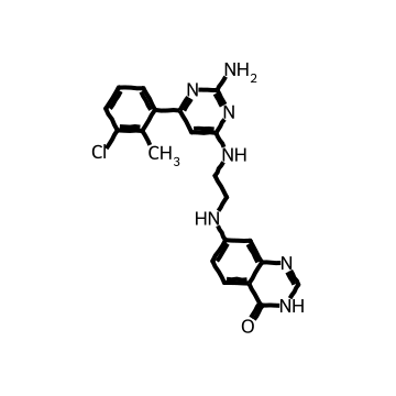 Cc1c(Cl)cccc1-c1cc(NCCNc2ccc3c(=O)[nH]cnc3c2)nc(N)n1